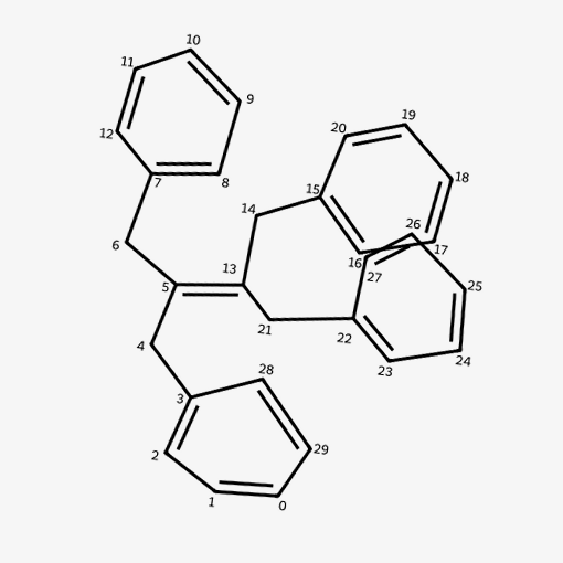 c1ccc(CC(Cc2ccccc2)=C(Cc2ccccc2)Cc2ccccc2)cc1